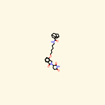 O=C1CCC(N2Cc3c(OCCCCCCNC(=O)C45CC6CC(CC(C6)C4)C5)cccc3C2=O)C(=O)N1